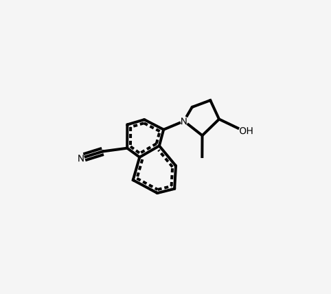 CC1C(O)CCN1c1ccc(C#N)c2ccccc12